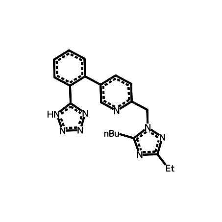 CCCCc1nc(CC)nn1Cc1ccc(-c2ccccc2-c2nnn[nH]2)cn1